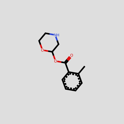 Cc1ccccc1C(=O)OC1CNCCO1